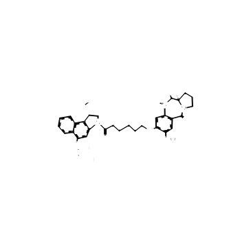 COc1cc2c(cc1OCCCCCC(=O)N1C[C@@H](CCl)c3c1cc(OP(=O)(O)O)c1ccccc31)N(C(C)C)C(O)[C@@H]1CCCN1C2=O